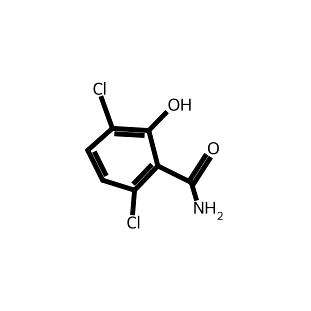 NC(=O)c1c(Cl)ccc(Cl)c1O